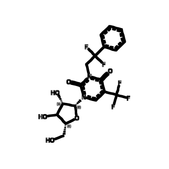 O=c1c(C(F)(F)F)cn([C@@H]2O[C@H](CO)C(O)[C@@H]2O)c(=O)n1CC(F)(F)c1ccccc1